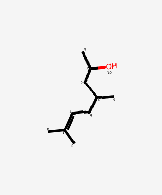 CC(C)=CCC(C)CC(C)O